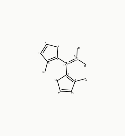 CC1=[C]([Zr]([C]2=C(C)C=CC2)=[Si](C)C)CC=C1